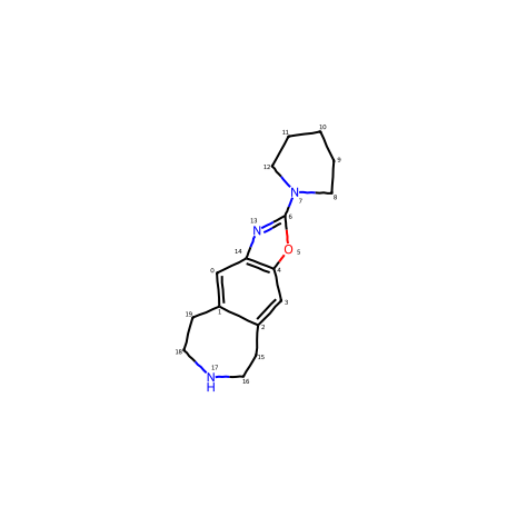 c1c2c(cc3oc(N4CCCCC4)nc13)CCNCC2